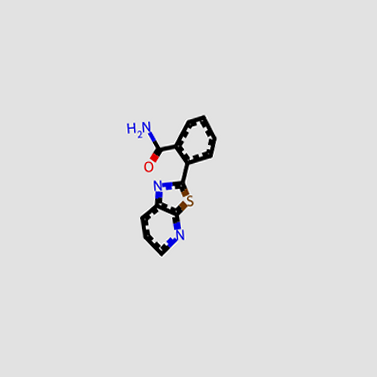 NC(=O)c1ccccc1-c1nc2cccnc2s1